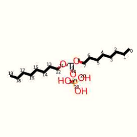 CCCCCCCC[O][Ti](=[O])[O]CCCCCCCC.OP(O)O